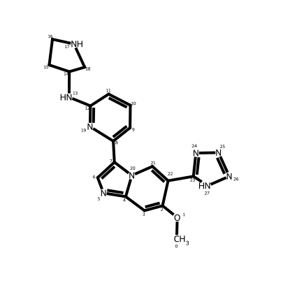 COc1cc2ncc(-c3cccc(NC4CCNC4)n3)n2cc1-c1nnn[nH]1